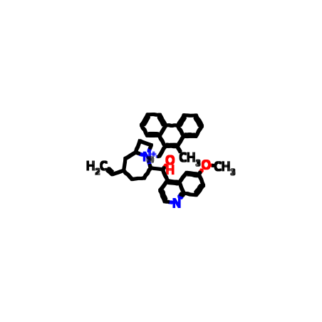 C=CC1CCC(C(O)c2ccnc3ccc(OC)cc23)[N@+]2(Cc3c(C)c4ccccc4c4ccccc34)CCC2C1